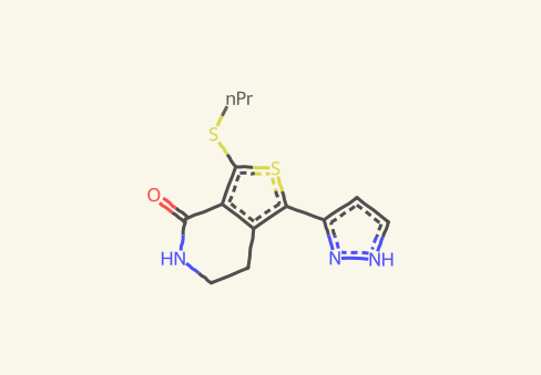 CCCSc1sc(-c2cc[nH]n2)c2c1C(=O)NCC2